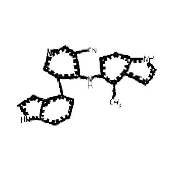 Cc1c(Nc2c(C#N)cncc2-c2cccc3[nH]ccc23)ccc2[nH]ccc12